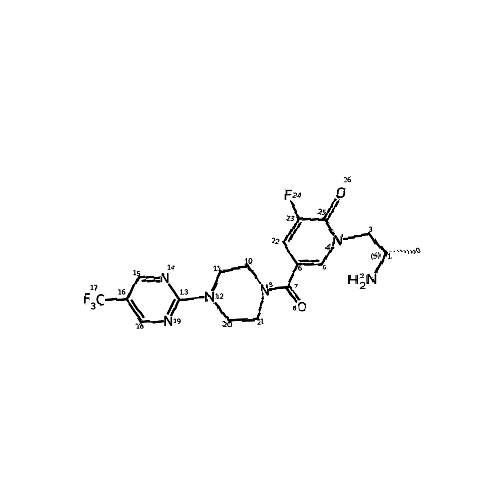 C[C@H](N)Cn1cc(C(=O)N2CCN(c3ncc(C(F)(F)F)cn3)CC2)cc(F)c1=O